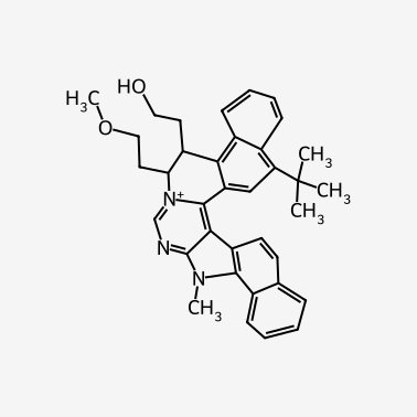 COCCC1C(CCO)c2c(cc(C(C)(C)C)c3ccccc23)-c2c3c4ccc5ccccc5c4n(C)c3nc[n+]21